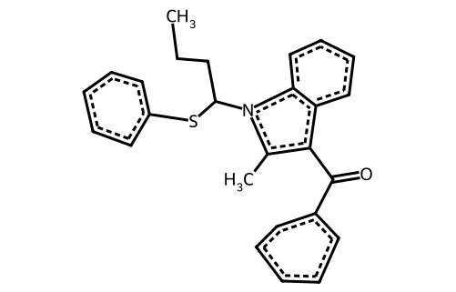 CCCC(Sc1ccccc1)n1c(C)c(C(=O)c2ccccc2)c2ccccc21